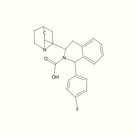 O=C(O)N1C(c2ccc(F)cc2)c2ccccc2CC1C1CC2CCN1CC2